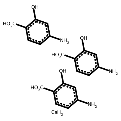 Nc1ccc(C(=O)O)c(O)c1.Nc1ccc(C(=O)O)c(O)c1.Nc1ccc(C(=O)O)c(O)c1.[CaH2]